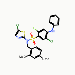 COc1ccc(CN(c2ncc(Cl)s2)S(=O)(=O)c2cc(Cl)c(Nc3[c]cccc3)cc2F)c(OC)c1